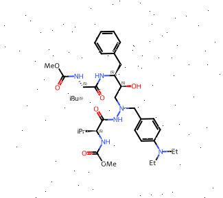 CC[C@H](C)[C@H](NC(=O)OC)C(=O)N[C@@H](Cc1ccccc1)[C@@H](O)CN(Cc1ccc(N(CC)CC)cc1)NC(=O)[C@@H](NC(=O)OC)C(C)C